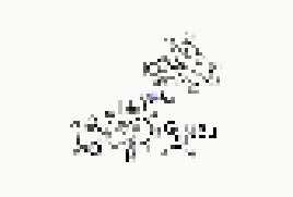 CC(C)(C)[Si](C)(C)O[C@@H]1C[C@H]2CC3(C[C@H]2[C@H]1/C=C/[C@H](O)C12CC4CC(CC(C4)C1)C2)OCCO3